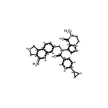 CN1CCn2ncc(N(Cc3ccc4c5c(c(N)nc4c3)COC5)C(=O)c3ccc(C4CC4)nc3)c2C1=O